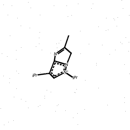 CC1=Nc2c(C(C)C)c[n+](C(C)C)n2C1